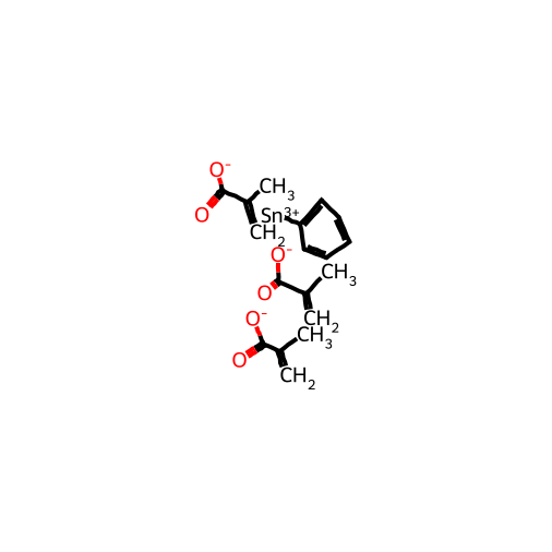 C=C(C)C(=O)[O-].C=C(C)C(=O)[O-].C=C(C)C(=O)[O-].[Sn+3][c]1ccccc1